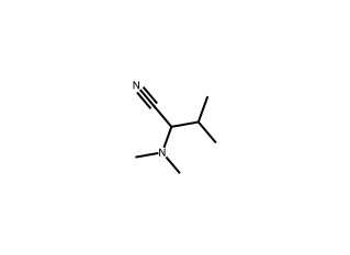 CC(C)C(C#N)N(C)C